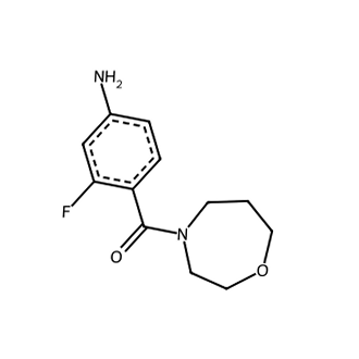 Nc1ccc(C(=O)N2CCCOCC2)c(F)c1